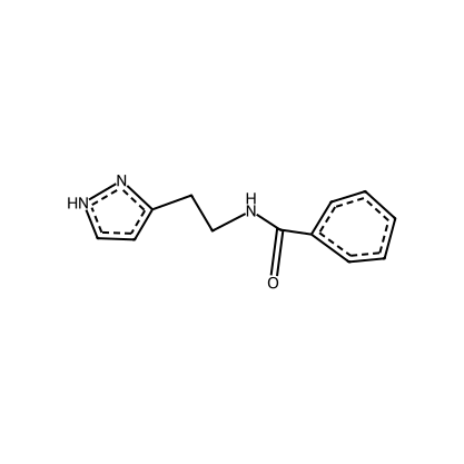 O=C(NCCc1cc[nH]n1)c1ccccc1